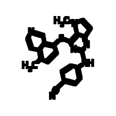 Cc1ccc(Sc2nc(Nc3ccc(C#N)cc3)nc3ccn(C)c23)c2cnccc12